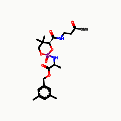 COC(=O)CCNC(=O)[C@@H]1OP(=O)(N[C@@H](C)C(=O)OCc2cc(C)cc(C)c2)OCC1(C)C